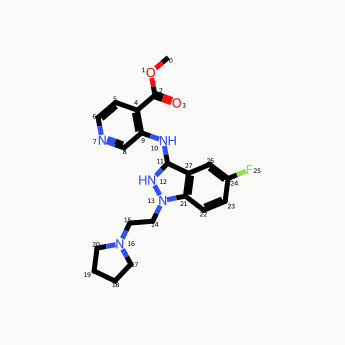 COC(=O)c1ccncc1NC1NN(CCN2CCCC2)c2ccc(F)cc21